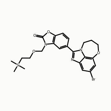 C[Si](C)(C)CCOCn1c(=O)oc2ccc(-c3nc4cc(Br)cc5c4n3CCCO5)cc21